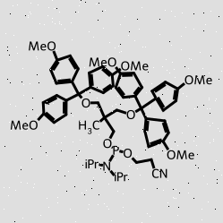 COc1ccc(C(OCC(C)(COP(OCCC#N)N(C(C)C)C(C)C)COC(c2ccc(OC)cc2)(c2ccc(OC)cc2)c2ccc(OC)cc2)(c2ccc(OC)cc2)c2ccc(OC)cc2)cc1